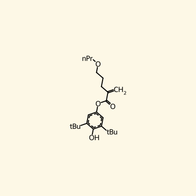 C=C(CCCOCCC)C(=O)Oc1cc(C(C)(C)C)c(O)c(C(C)(C)C)c1